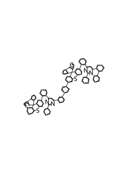 c1ccc(-c2nc(-c3cccc(-c4ccc(-c5ccc6c(c5)Sc5ccc(-c7ccccc7-c7cc(-c8ccccc8-c8ccccc8)nc(-c8ccccc8)n7)cc5C65c6ccccc6-c6ccccc65)cc4)c3)cc(-c3ccccc3-c3ccc4c(c3)C3(c5ccccc5S4)c4ccccc4-c4ccccc43)n2)cc1